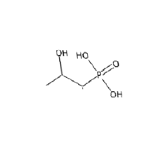 CC(O)[CH]P(=O)(O)O